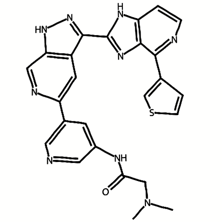 CN(C)CC(=O)Nc1cncc(-c2cc3c(-c4nc5c(-c6ccsc6)nccc5[nH]4)n[nH]c3cn2)c1